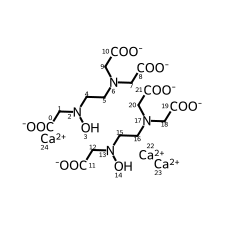 O=C([O-])CN(O)CCN(CC(=O)[O-])CC(=O)[O-].O=C([O-])CN(O)CCN(CC(=O)[O-])CC(=O)[O-].[Ca+2].[Ca+2].[Ca+2]